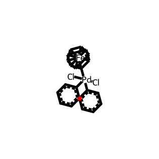 [Cl][Pd]([Cl])([c]1ccccc1)([c]1ccccc1)[C]12[CH]3[CH]4[CH]5[CH]1[Fe]45321678[CH]2[CH]1[CH]6[CH]7[CH]28